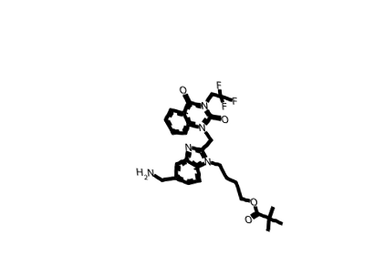 CC(C)(C)C(=O)OCCCCn1c(Cn2c(=O)n(CC(F)(F)F)c(=O)c3ccccc32)nc2cc(CN)ccc21